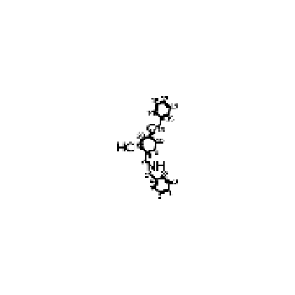 Cl.c1ccc(CNCC2CCC(OCc3ccccc3)CC2)cc1